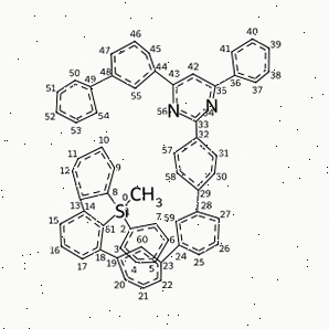 C[Si]1(c2ccccc2)c2ccccc2-c2cccc(-c3cccc(-c4cccc(-c5ccc(-c6nc(-c7ccccc7)cc(-c7cccc(-c8ccccc8)c7)n6)cc5)c4)c3)c21